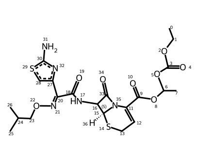 CCOC(=O)OC(C)OC(=O)C1=CCS[C@H]2C(NC(=O)C(=NOCC(C)C)c3csc(N)n3)C(=O)N12